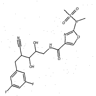 CN(c1nc(C(=O)NCC(O)C(O)C(C#N)Cc2cc(F)cc(F)c2)co1)S(C)(=O)=O